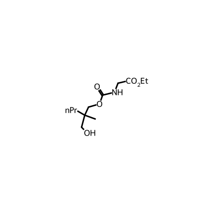 CCCC(C)(CO)COC(=O)NCC(=O)OCC